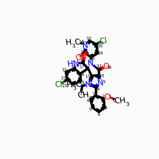 COc1ccccc1-c1nc2c(n1C(C)C)[C@@]1(C(=O)Nc3cc(Cl)ccc31)N(c1cc(Cl)cn(C)c1=O)C2=O